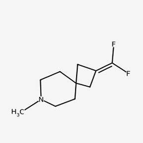 CN1CCC2(CC1)CC(=C(F)F)C2